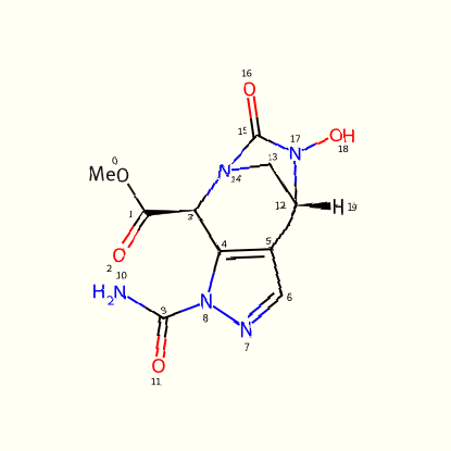 COC(=O)[C@@H]1c2c(cnn2C(N)=O)[C@@H]2CN1C(=O)N2O